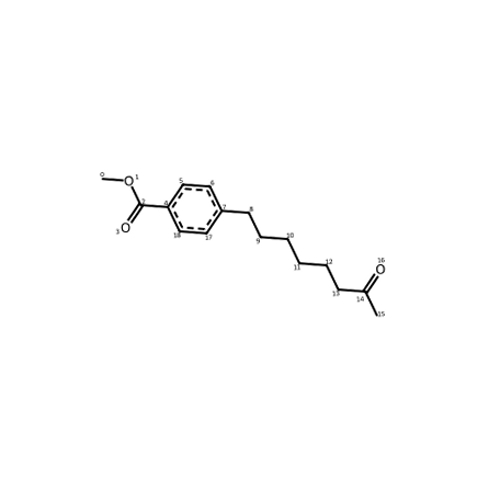 COC(=O)c1ccc(CCCCCCC(C)=O)cc1